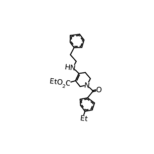 CCOC(=O)C1=C(NCCc2ccccc2)CCN(C(=O)c2ccc(CC)cc2)C1